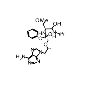 COC[C@H](N[P@](=O)(CO[C@H](C)Cn1cnc2c(N)ncnc21)Oc1ccccc1)C(O)NC(C)C